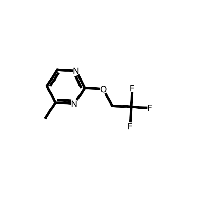 Cc1ccnc(OCC(F)(F)F)n1